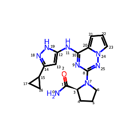 NC(=O)[C@@H]1CCCN1c1nc(Nc2cc(C3CC3)n[nH]2)c2cccn2n1